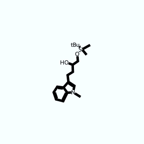 Cn1cc(CCC(O)CO[Si](C)(C)C(C)(C)C)c2ccccc21